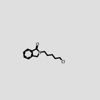 O=C1c2ccccc2CN1CCCCCCl